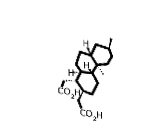 C[C@H]1CC[C@]2(C)[C@H](CC[C@@H]3[C@@H](CC(=O)O)[C@H](CC(=O)O)CC[C@H]32)C1